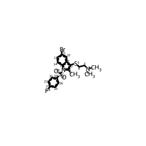 Cc1c(SCCN(C)C)c2cc(Br)ccc2n1S(=O)(=O)c1ccc(F)cc1